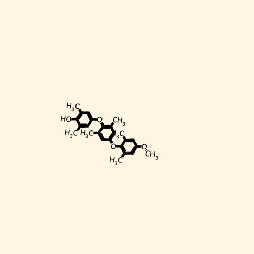 COc1cc(C)c(Oc2cc(C)c(Oc3cc(C)c(O)c(C)c3)c(C)c2)c(C)c1